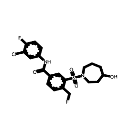 O=C(Nc1ccc(F)c(Cl)c1)c1ccc(CF)c(S(=O)(=O)N2CCCC(O)CC2)c1